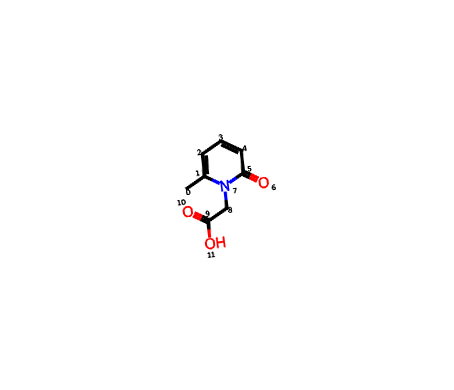 Cc1cccc(=O)n1CC(=O)O